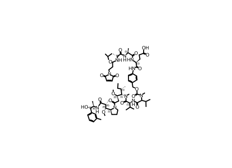 CC[C@H](C)[C@@H]([C@@H](CC(=O)N1CCC[C@H]1[C@H](OC)[C@@H](C)C(=O)N[C@H](C)[C@@H](O)c1cccc(C)c1)OC)N(C)C(=O)[C@@H](NC(=O)C(C(C)C)N(C)C(=O)OCc1ccc(NC(=O)[C@H](CCC(=O)O)NC(=O)[C@H](C)NC(=O)[C@@H](CC(C)C)NC(=O)CCN2C(=O)C=CC2=O)cc1)C(C)C